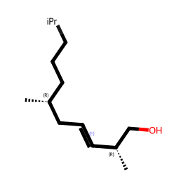 CC(C)CCC[C@@H](C)C/C=C/[C@@H](C)CO